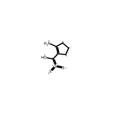 NC1=C(C(O)=S(=S)=S)CCC1